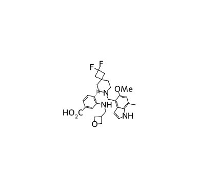 COc1cc(C)c2[nH]ccc2c1CN1CCC2(C[C@H]1c1ccc(C(=O)O)cc1NCC1COC1)CC(F)(F)C2